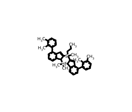 CCC[Si]1(C)C2=Cc3c(-c4cccc(C)c4C)cccc3[CH]2[Hf]([CH3])([CH3])[CH]2C1=Cc1c(-c3cccc(C)c3C)cccc12